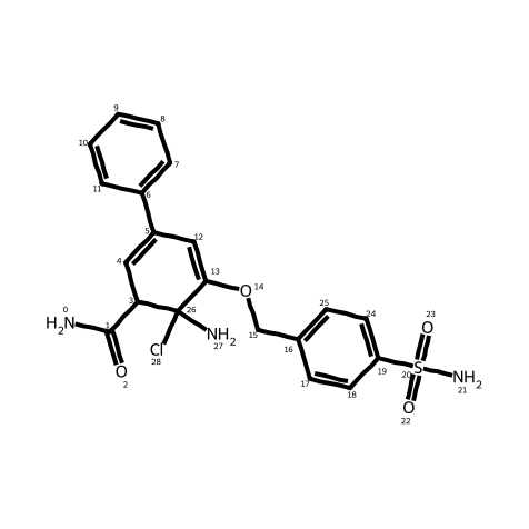 NC(=O)C1C=C(c2ccccc2)C=C(OCc2ccc(S(N)(=O)=O)cc2)C1(N)Cl